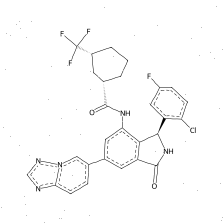 O=C1N[C@H](c2cc(F)ccc2Cl)c2c(NC(=O)[C@H]3CCC[C@@H](C(F)(F)F)C3)cc(-c3ccc4ncnn4c3)cc21